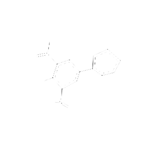 O=[N+]([O-])c1cc(-c2ccccc2)cc([N+](=O)[O-])c1O